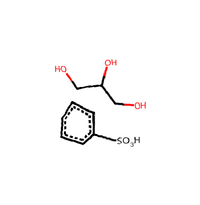 O=S(=O)(O)c1ccccc1.OCC(O)CO